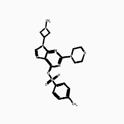 Cc1ccc(S(=O)(=O)Oc2nc(N3CCOCC3)nc3c2ncn3C2CN(C)C2)cc1